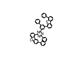 c1ccc(-c2cc(-c3nc(-c4ccccc4)nc(-c4cccc5oc6ccc(-c7ccccc7)cc6c45)n3)cc(-c3cccc4c3sc3c(-c5ccccc5)cccc34)c2)cc1